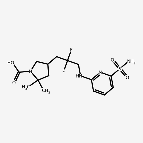 CC1(C)CC(CC(F)(F)CNc2cccc(S(N)(=O)=O)n2)CN1C(=O)O